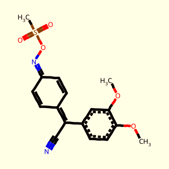 COc1ccc(C(C#N)=C2C=CC(=NOS(C)(=O)=O)C=C2)cc1OC